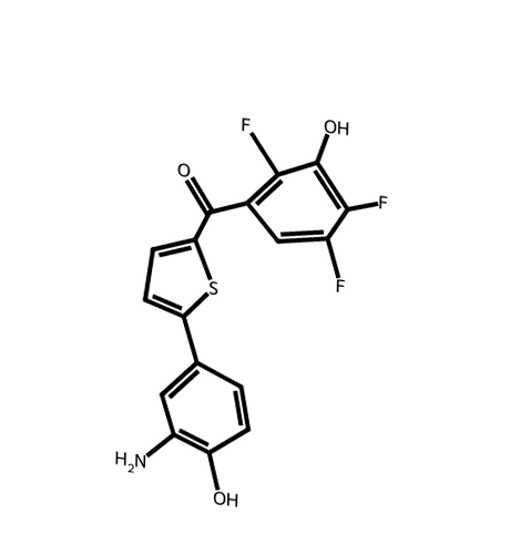 Nc1cc(-c2ccc(C(=O)c3cc(F)c(F)c(O)c3F)s2)ccc1O